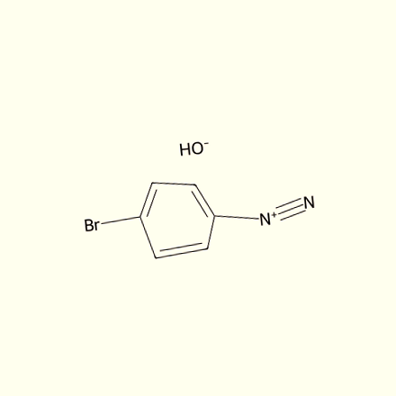 N#[N+]c1ccc(Br)cc1.[OH-]